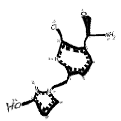 NC(=O)c1ccc(-n2ccc(O)n2)nc1Cl